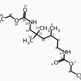 CC(CCNC(=O)OCC(F)(F)F)CC(C)(C)CNC(=O)OCC(F)(F)F